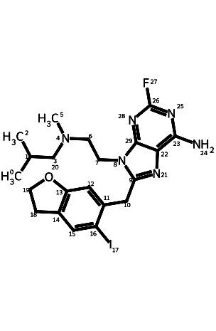 CC(C)CN(C)CCn1c(Cc2cc3c(cc2I)CCO3)nc2c(N)nc(F)nc21